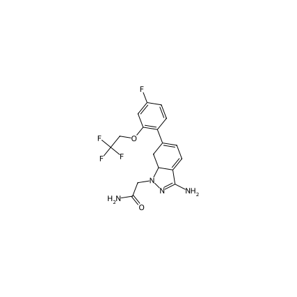 NC(=O)CN1N=C(N)C2=CC=C(c3ccc(F)cc3OCC(F)(F)F)CC21